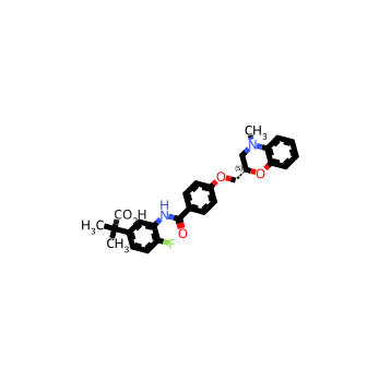 CN1C[C@@H](COc2ccc(C(=O)Nc3cc(C(C)(C)C(=O)O)ccc3F)cc2)Oc2ccccc21